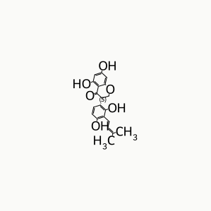 CC(C)=CCc1c(O)ccc([C@H]2COc3cc(O)cc(O)c3C2=O)c1O